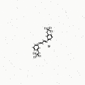 CC[Si](CC)(CC)Cc1cccc(N=CC=Nc2cccc(C[Si](CC)(CC)CC)c2)c1.[Ni]